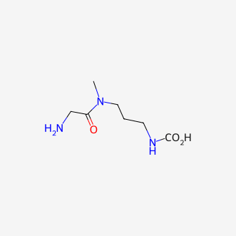 CN(CCCNC(=O)O)C(=O)CN